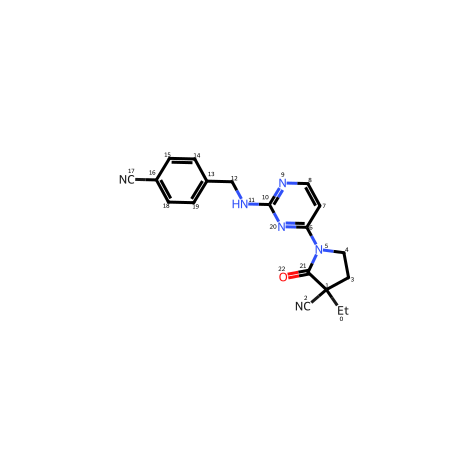 CCC1(C#N)CCN(c2ccnc(NCc3ccc(C#N)cc3)n2)C1=O